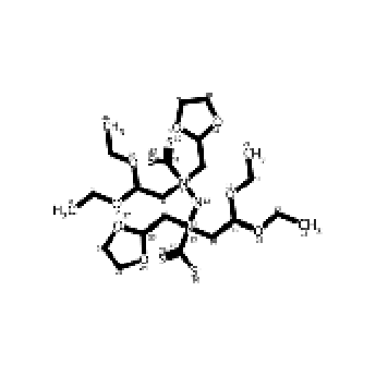 CCOC(C[N+](CC1OCCO1)([N][N+](CC(OCC)OCC)(CC1OCCO1)C(=S)[S-])C(=S)[S-])OCC